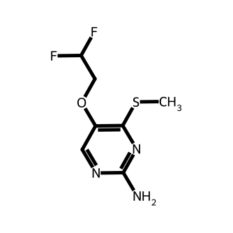 CSc1nc(N)ncc1OCC(F)F